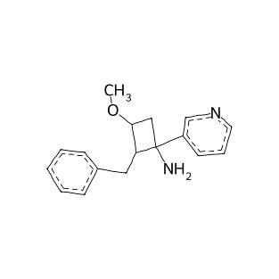 COC1CC(N)(c2cccnc2)C1Cc1ccccc1